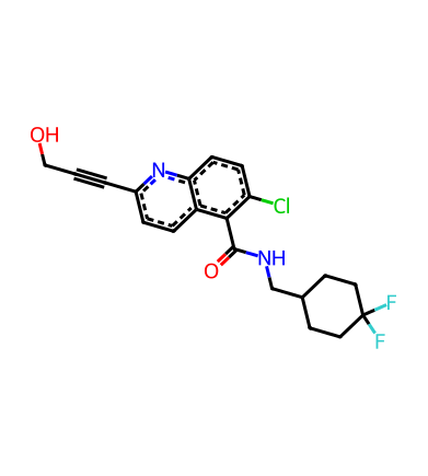 O=C(NCC1CCC(F)(F)CC1)c1c(Cl)ccc2nc(C#CCO)ccc12